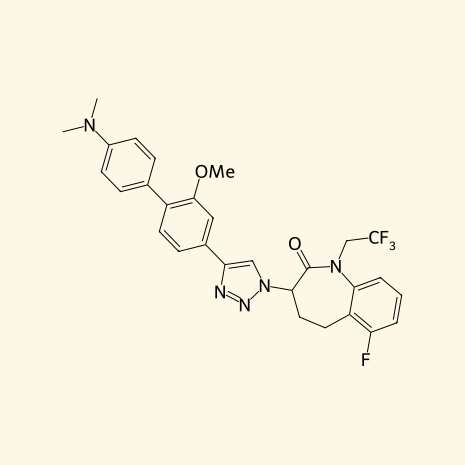 COc1cc(-c2cn(C3CCc4c(F)cccc4N(CC(F)(F)F)C3=O)nn2)ccc1-c1ccc(N(C)C)cc1